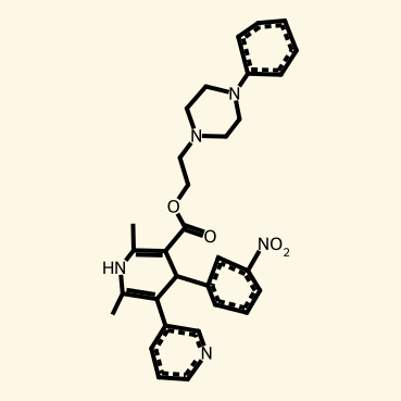 CC1=C(C(=O)OCCN2CCN(c3ccccc3)CC2)C(c2cccc([N+](=O)[O-])c2)C(c2cccnc2)=C(C)N1